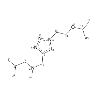 CC(C)CN(C)Cc1cn(CCOC(C)C)nn1